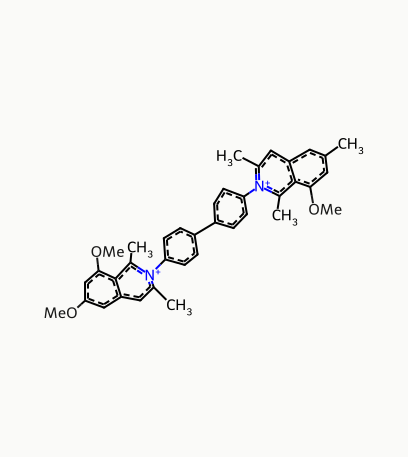 COc1cc(OC)c2c(C)[n+](-c3ccc(-c4ccc(-[n+]5c(C)cc6cc(C)cc(OC)c6c5C)cc4)cc3)c(C)cc2c1